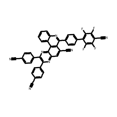 N#Cc1ccc(-c2nc3cc(C#N)c4c(-c5ccc(-c6c(F)c(F)c(C#N)c(F)c6F)cc5)nc5ccccc5c4c3nc2-c2ccc(C#N)cc2)cc1